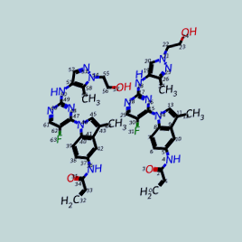 C=CC(=O)Nc1ccc2c(c1)c(C)cn2-c1nc(Nc2cn(CCO)nc2C)ncc1F.C=CC(=O)Nc1ccc2c(c1)c(C)cn2-c1nc(Nc2cnn(CCO)c2C)ncc1F